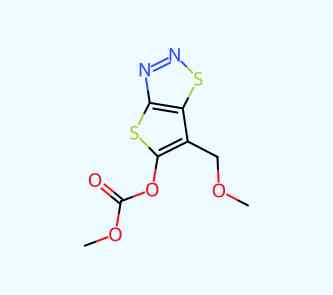 COCc1c(OC(=O)OC)sc2nnsc12